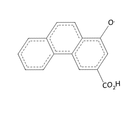 [O]c1cc(C(=O)O)cc2c1ccc1ccccc12